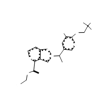 CCOC(=O)c1nccc2nn(C(C)c3cnc(OCC(F)(F)F)c(C)c3)cc12